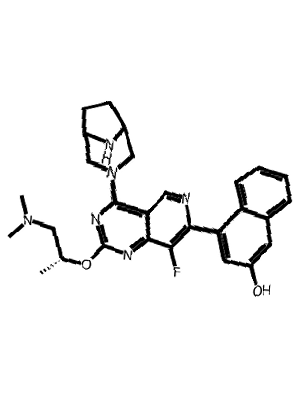 C[C@H](CN(C)C)Oc1nc(N2CC3CCC(C2)N3)c2cnc(-c3cc(O)cc4ccccc34)c(F)c2n1